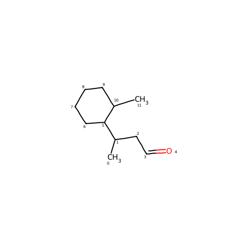 CC(CC=O)C1CCCCC1C